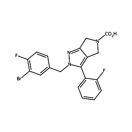 O=C(O)N1Cc2nn(Cc3ccc(F)c(Br)c3)c(-c3ccccc3F)c2C1